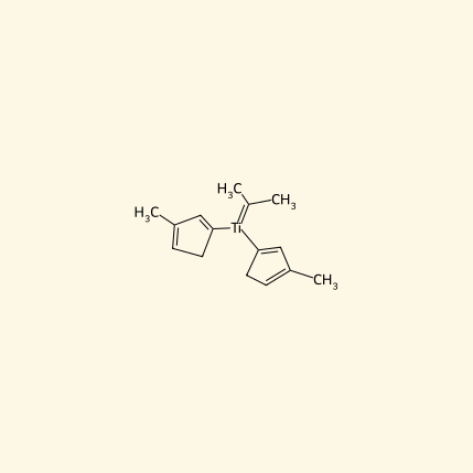 CC1=CC[C]([Ti]([C]2=CC(C)=CC2)=[C](C)C)=C1